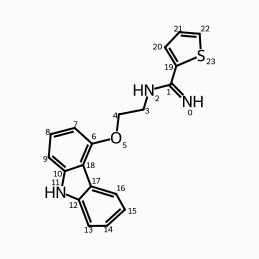 N=C(NCCOc1cccc2[nH]c3ccccc3c12)c1cccs1